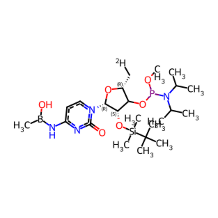 [2H]C[C@H]1O[C@@H](n2ccc(NB(C)O)nc2=O)[C@@H](O[Si](C)(C)C(C)(C)C)C1OP(OC)N(C(C)C)C(C)C